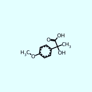 COc1ccc(C(C)(O)C(=O)O)cc1